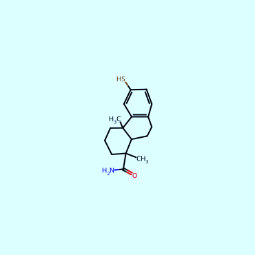 CC1(C(N)=O)CCCC2(C)c3cc(S)ccc3CCC12